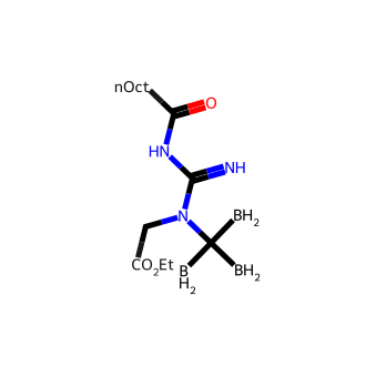 BC(B)(B)N(CC(=O)OCC)C(=N)NC(=O)CCCCCCCC